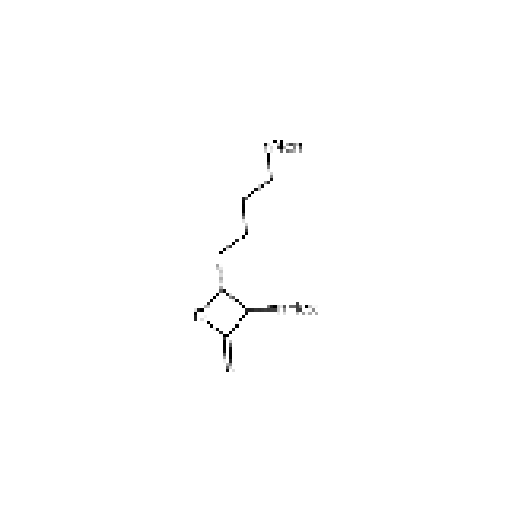 C=C1O[C@H](CCCCCCCCCCCCC)[C@H]1CCCCCC